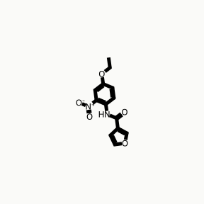 CCOc1ccc(NC(=O)c2ccoc2)c([N+](=O)[O-])c1